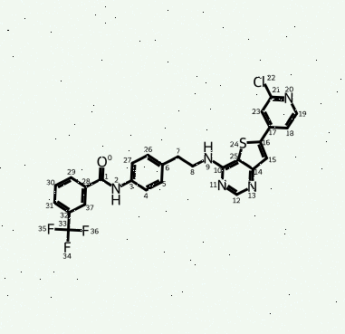 O=C(Nc1ccc(CCNc2ncnc3cc(-c4ccnc(Cl)c4)sc23)cc1)c1cccc(C(F)(F)F)c1